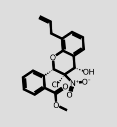 C=CCc1cccc2c1O[C@@H](c1ccccc1C(=O)OC)[C@](Cl)([N+](=O)[O-])[C@H]2O